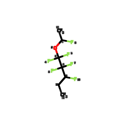 FC(OC(F)(F)C(F)(F)C(F)CC(F)(F)F)C(F)(F)F